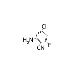 N#Cc1c(N)cc(Cl)cc1F